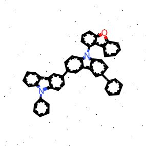 c1ccc(-c2ccc3c(c2)c2cc(-c4ccc5c(c4)c4ccccc4n5-c4ccccc4)ccc2n3-c2cccc3oc4ccccc4c23)cc1